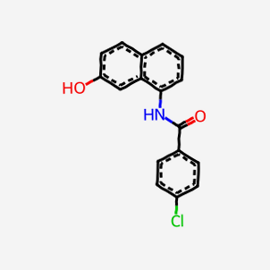 O=C(Nc1cccc2ccc(O)cc12)c1ccc(Cl)cc1